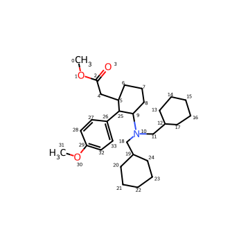 COC(=O)CC1CCCC(N(CC2CCCCC2)CC2CCCCC2)C1c1ccc(OC)cc1